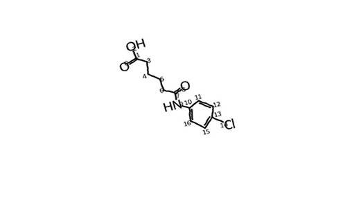 O=C(O)CCCCC(=O)Nc1ccc(Cl)cc1